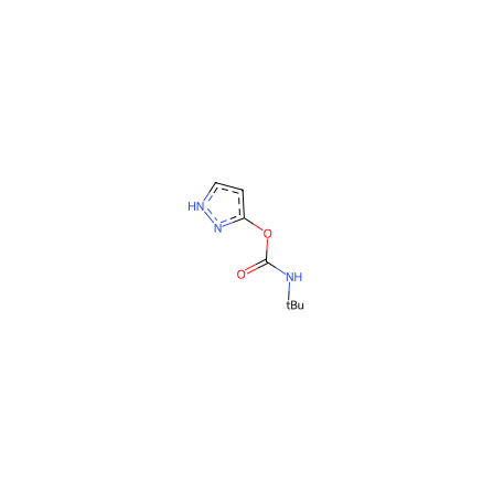 CC(C)(C)NC(=O)Oc1cc[nH]n1